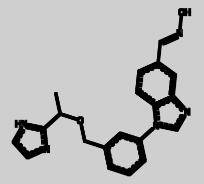 CC(OCc1cccc(-n2cnc3cc(C=NO)ccc32)c1)c1ncc[nH]1